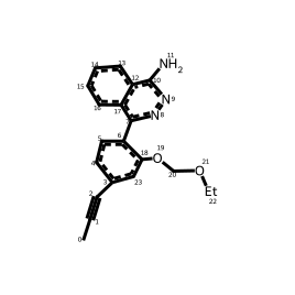 CC#Cc1ccc(-c2nnc(N)c3ccccc23)c(OCOCC)c1